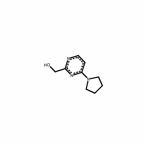 OCc1nccc(N2CCCC2)n1